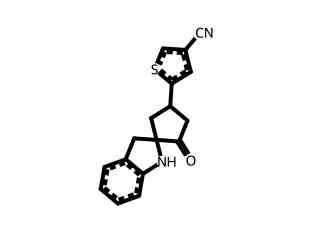 N#Cc1csc(C2CC(=O)C3(Cc4ccccc4N3)C2)c1